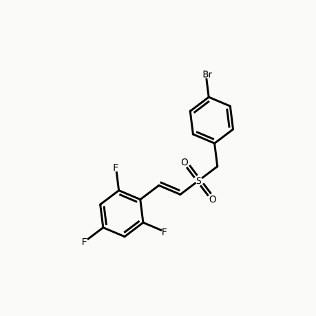 O=S(=O)(C=Cc1c(F)cc(F)cc1F)Cc1ccc(Br)cc1